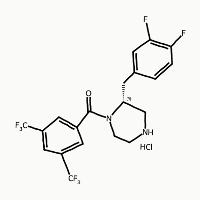 Cl.O=C(c1cc(C(F)(F)F)cc(C(F)(F)F)c1)N1CCNC[C@H]1Cc1ccc(F)c(F)c1